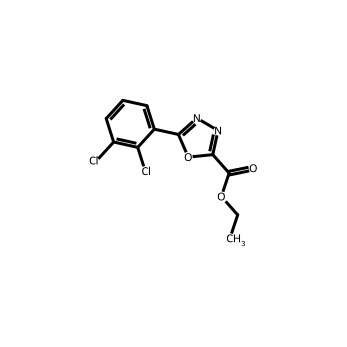 CCOC(=O)c1nnc(-c2cccc(Cl)c2Cl)o1